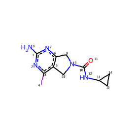 Nc1nc(I)c2c(n1)CN(C(=O)NC1CC1)C2